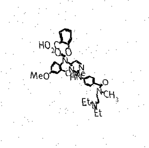 CCN(CC)CCN(C)C(=O)c1ccc(Nc2nccc(N(C(=O)Oc3ccccc3C(=O)O)c3ccc(OC)cc3OC)n2)cc1